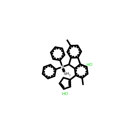 Cc1ccc2c(c1)[CH]([Ti](=[SiH2])([c]1ccccc1)[c]1ccccc1)c1c-2ccc(C)c1C1=CC=CC1.Cl.Cl